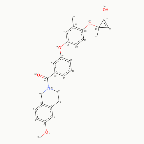 COc1ccc2c(c1)CCN(C(=O)c1cccc(Oc3ccc(OC4(C)C=C4O)c(C)c3)c1)C2